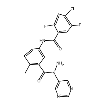 Cc1ccc(NC(=O)c2cc(F)c(Cl)cc2F)cc1C(=O)N(N)c1cncnc1